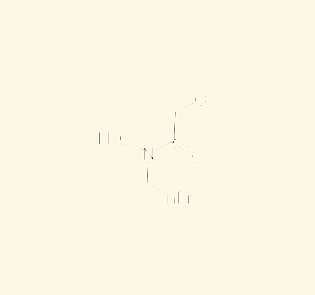 CCCCN(C)C(=O)C[O]